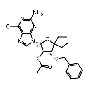 CCC1(CC)O[C@@H](n2cnc3c(Cl)nc(N)nc32)C(OC(C)=O)[C@H]1OCc1ccccc1